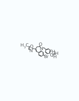 [2H]C([2H])([2H])Oc1ccc(CN2C(=O)CC(c3ncc(C)o3)=Cc3ccc(Br)cc32)cc1